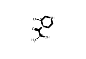 CC[C@H]1CNCCN1C(=O)[C@@H](C)O